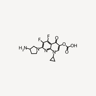 NC1CCN(c2nc3c(c(F)c2F)c(=O)c(OC(=O)O)cn3C2CC2)C1